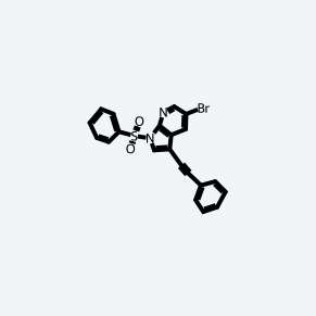 O=S(=O)(c1ccccc1)n1cc(C#Cc2ccccc2)c2cc(Br)cnc21